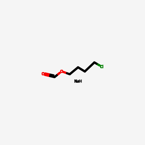 O=COCCCCCl.[NaH]